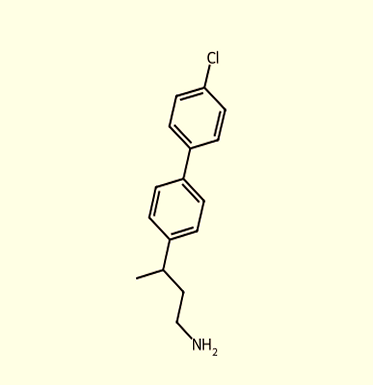 CC(CCN)c1ccc(-c2ccc(Cl)cc2)cc1